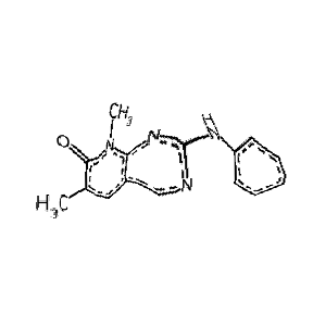 Cc1cc2cnc(Nc3ccccc3)nc2n(C)c1=O